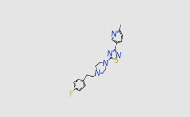 Cc1ccc(-c2nsc(N3CCN(CCc4ccc(F)cc4)CC3)n2)cn1